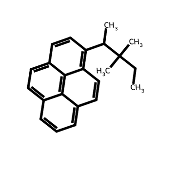 CCC(C)(C)C(C)c1ccc2ccc3cccc4ccc1c2c34